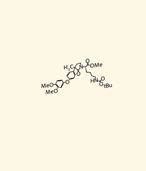 COC(=O)[C@@H](CCCCNC(=O)OC(C)(C)C)N1CC[C@@](C)(c2ccc(Oc3ccc(OC)c(OC)c3)cc2)C1=O